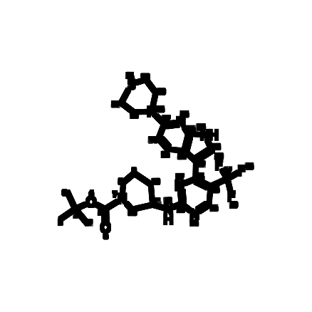 CC(C)(C)OC(=O)N1CCCC(Nc2ncc(C(F)(F)F)c(-c3c[nH]c4nc(N5CCSCC5)ccc34)n2)C1